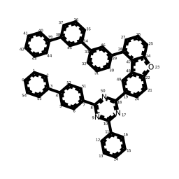 c1ccc(-c2ccc(-c3nc(-c4ccccc4)nc(-c4ccc5oc6cccc(-c7cccc(-c8cccc(-c9ccccc9)c8)c7)c6c5c4)n3)cc2)cc1